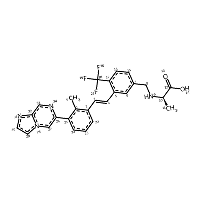 Cc1c(/C=C/c2cc(CN[C@H](C)C(=O)O)ccc2C(F)(F)F)cccc1-c1cn2ccnc2cn1